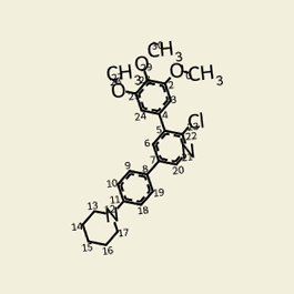 COc1cc(-c2cc(-c3ccc(N4CCCCC4)cc3)cnc2Cl)cc(OC)c1OC